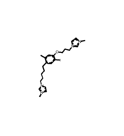 Cc1cc(OCCC[n+]2ccn(C)c2)c(I)cc1CCCCC[n+]1ccn(C)c1